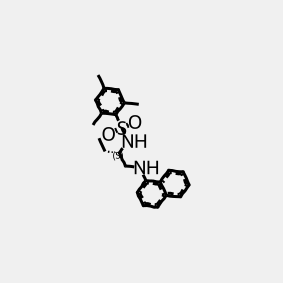 CC[C@@H](CNc1cccc2ccccc12)NS(=O)(=O)c1c(C)cc(C)cc1C